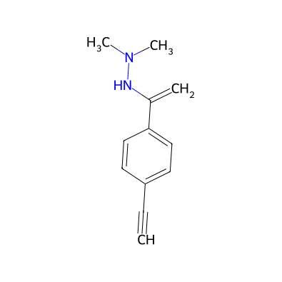 C#Cc1ccc(C(=C)NN(C)C)cc1